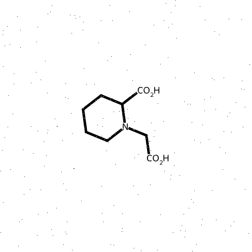 O=C(O)CN1CCCCC1C(=O)O